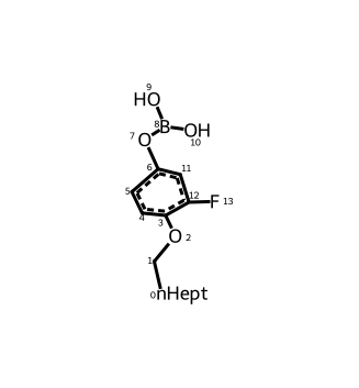 CCCCCCCCOc1ccc(OB(O)O)cc1F